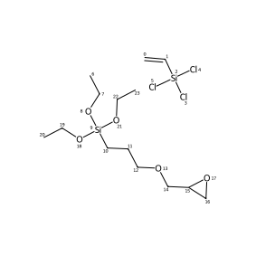 C=C[Si](Cl)(Cl)Cl.CCO[Si](CCCOCC1CO1)(OCC)OCC